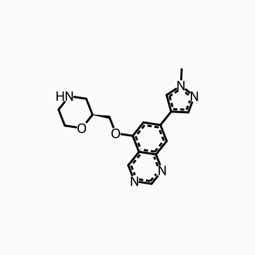 Cn1cc(-c2cc(OC[C@@H]3CNCCO3)c3cncnc3c2)cn1